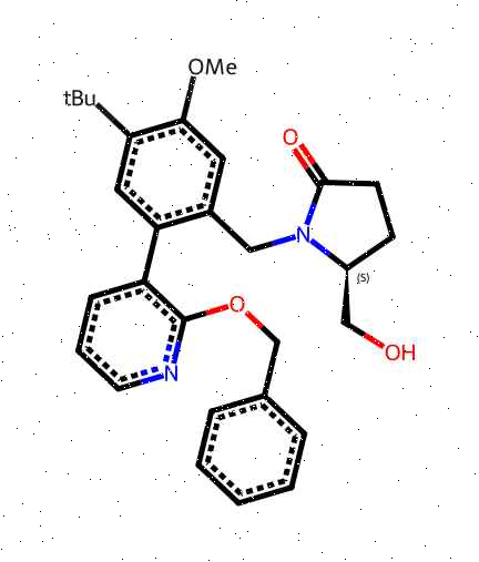 COc1cc(CN2C(=O)CC[C@H]2CO)c(-c2cccnc2OCc2ccccc2)cc1C(C)(C)C